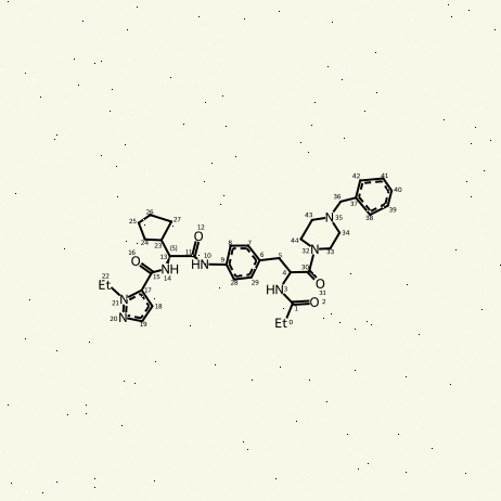 CCC(=O)NC(Cc1ccc(NC(=O)[C@@H](NC(=O)c2ccnn2CC)C2CCCC2)cc1)C(=O)N1CCN(Cc2ccccc2)CC1